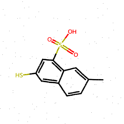 Cc1ccc2cc(S)cc(S(=O)(=O)O)c2c1